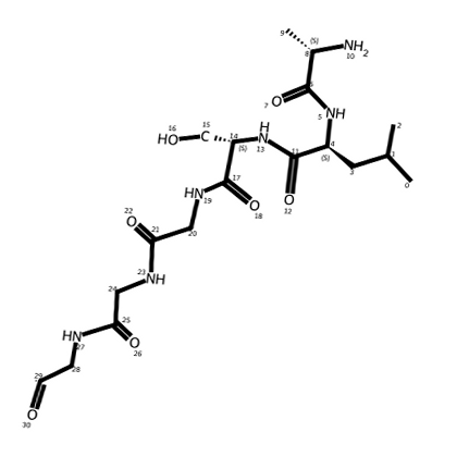 CC(C)C[C@H](NC(=O)[C@H](C)N)C(=O)N[C@@H](CO)C(=O)NCC(=O)NCC(=O)NC[C]=O